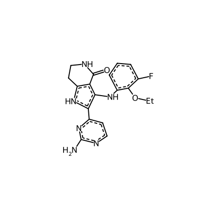 CCOc1c(F)cccc1Nc1c(-c2ccnc(N)n2)[nH]c2c1C(=O)NCC2